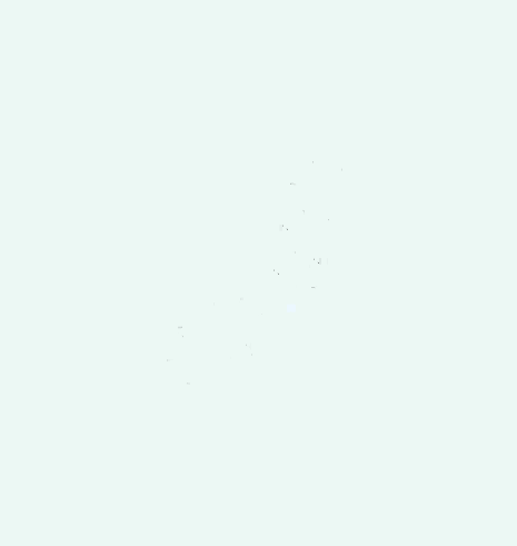 O=C1NC(NC2CCCCC2)=N/C1=C\c1ccc2ncccc2n1